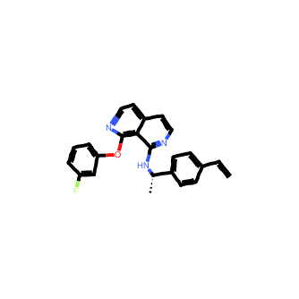 C=Cc1ccc([C@H](C)Nc2nccc3ccnc(Oc4cccc(F)c4)c23)cc1